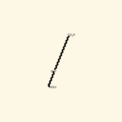 CCCCCCCC/C=C\CCCCCCCC(=O)OCCCCCCCCCCCCCCCCCCCCCCC(=O)O